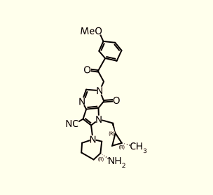 COc1cccc(C(=O)Cn2cnc3c(C#N)c(N4CCC[C@@H](N)C4)n(C[C@@H]4C[C@H]4C)c3c2=O)c1